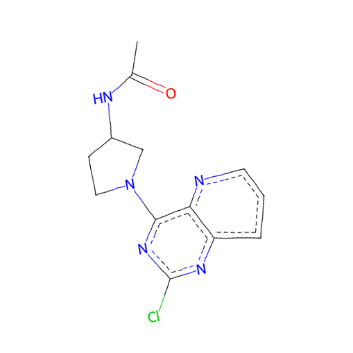 CC(=O)NC1CCN(c2nc(Cl)nc3cccnc23)C1